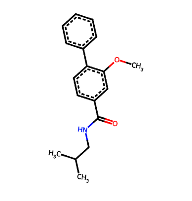 COc1cc(C(=O)NCC(C)C)ccc1-c1ccccc1